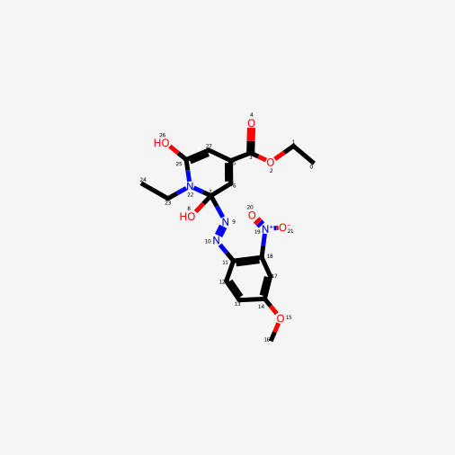 CCOC(=O)C1=CC(O)(N=Nc2ccc(OC)cc2[N+](=O)[O-])N(CC)C(O)=C1